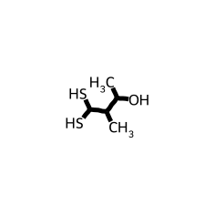 CC(O)C(C)C(S)S